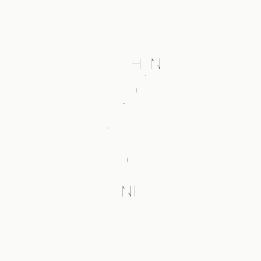 Nc1ccccc1OC1=CCC(Oc2ccccc2N)(c2ccccc2)C=C1